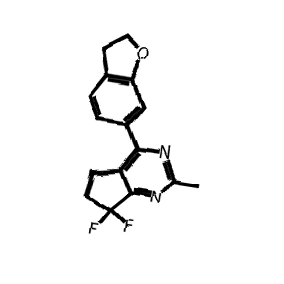 Cc1nc(-c2ccc3c(c2)OCC3)c2c(n1)C(F)(F)CC2